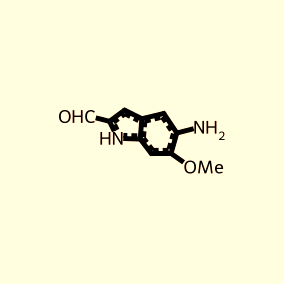 COc1cc2[nH]c(C=O)cc2cc1N